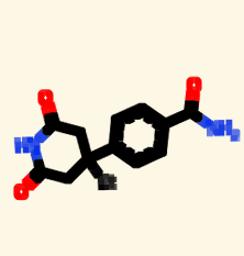 CCC1(c2ccc(C(N)=O)cc2)CC(=O)NC(=O)C1